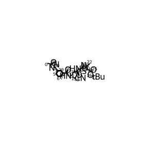 Cc1nc(-c2cccc(C(=O)N[C@H](CC#N)CC(=O)Nc3nc(C)c(C(=O)OC(C)(C)C)s3)c2)no1